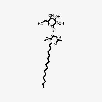 CCCCCCCCCCCCCCC[C@H](OC)[C@H](CO[C@@H]1OC(CO)[C@@H](O)C(O)[C@@H]1O)NC(C)=O